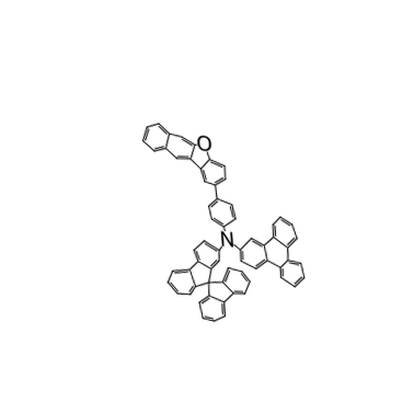 c1ccc2c(c1)-c1ccccc1C21c2ccccc2-c2ccc(N(c3ccc(-c4ccc5oc6cc7ccccc7cc6c5c4)cc3)c3ccc4c5ccccc5c5ccccc5c4c3)cc21